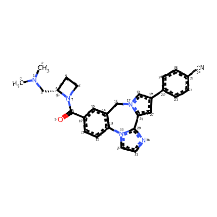 CN(C)C[C@@H]1CCN1C(=O)c1ccc2c(c1)Cn1cc(-c3ccc(C#N)cc3)cc1-c1nccn1-2